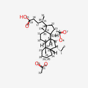 CC[C@H]1[C@@H](OC(C)=O)[C@@H]2[C@H](CC[C@]3(C)[C@@H]([C@H](C)CCC(=O)O)CC[C@@H]23)[C@@]2(C)CC[C@@H](OC(C)=O)C[C@@H]12